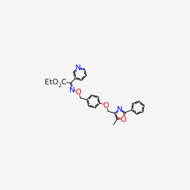 CCOC(=O)C(=NOCc1ccc(OCc2nc(-c3ccccc3)oc2C)cc1)c1cccnc1